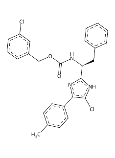 Cc1ccc(-c2nc([C@H](Cc3ccccc3)NC(=O)OCc3cccc(Cl)c3)[nH]c2Cl)cc1